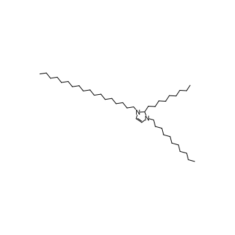 CCCCCCCCCCCCCCCCCCN1C=CN(CCCCCCCCCCC)C1CCCCCCCCC